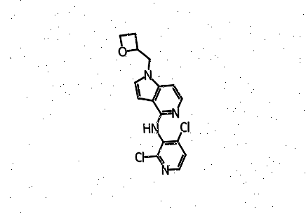 Clc1ccnc(Cl)c1Nc1nccc2c1ccn2CC1CCO1